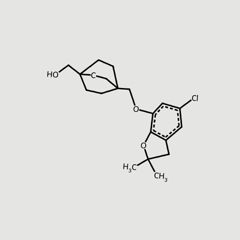 CC1(C)Cc2cc(Cl)cc(OCC34CCC(CO)(CC3)CC4)c2O1